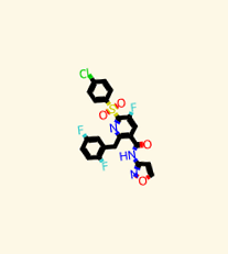 O=C(Nc1ccon1)c1cc(F)c(S(=O)(=O)c2ccc(Cl)cc2)nc1Cc1cc(F)ccc1F